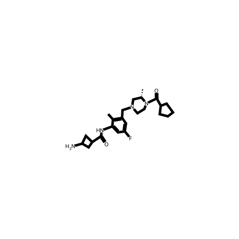 Cc1c(CN2CCN(C(=O)C3CCCC3)[C@@H](C)C2)cc(F)cc1NC(=O)C1CC(N)C1